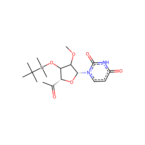 COC1C(O[Si](C)(C)C(C)(C)C)[C@@H](C(C)=O)O[C@H]1n1ccc(=O)[nH]c1=O